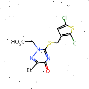 CCc1nn(CC(=O)O)c(SCc2cc(Cl)sc2Cl)nc1=O